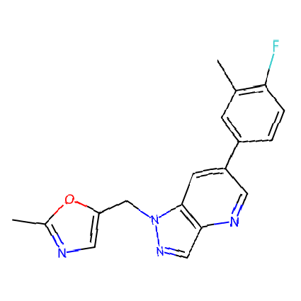 Cc1ncc(Cn2ncc3ncc(-c4ccc(F)c(C)c4)cc32)o1